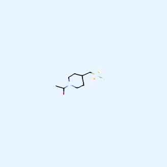 CC(I)N1CCC(CS(N)(=O)=O)CC1